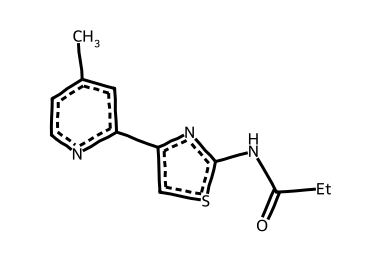 CCC(=O)Nc1nc(-c2cc(C)ccn2)cs1